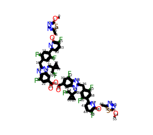 COc1nnc(COc2nc(-c3cc(F)c(Cc4nc5c(F)cc(C(=O)OC(=O)c6cc(F)c7nc(Cc8cc(F)c(-c9ccc(F)c(OCc%10nnc(OC)s%10)n9)cc8F)n(CC8(CF)CC8)c7c6)cc5n4CC4(CF)CC4)cc3F)ccc2F)s1